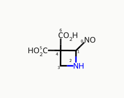 O=NC1NCC1(C(=O)O)C(=O)O